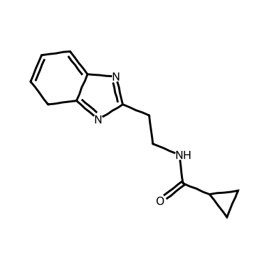 O=C(NCCC1=NC2=CC=CCC2=N1)C1CC1